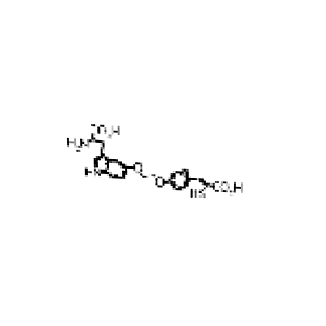 NC(Cc1c[nH]c2ccc(OCCOc3ccc(C=C(S)C(=O)O)cc3)cc12)C(=O)O